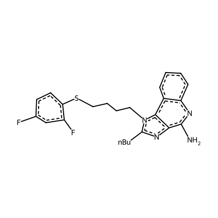 CCCCc1nc2c(N)nc3ccccc3c2n1CCCCSc1ccc(F)cc1F